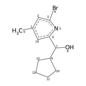 Cc1cc(Br)nc(C(O)C2CCCC2)c1